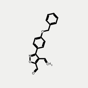 C=Cc1c(-c2ccc(OCc3ccccc3)cc2)noc1C=O